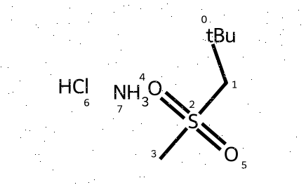 CC(C)(C)CS(C)(=O)=O.Cl.N